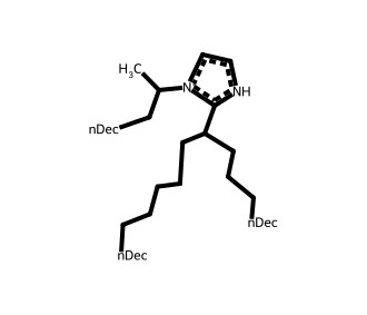 CCCCCCCCCCCCCCCC(CCCCCCCCCCCCC)c1[nH]cc[n+]1C(C)CCCCCCCCCCC